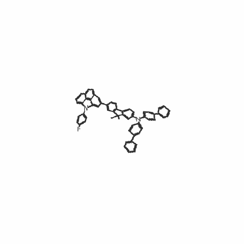 CC1(C)c2cc(-c3cc4ccc5cccc6c5c4c(c3)n6-c3ccc(F)cc3)ccc2-c2ccc(N(c3ccc(-c4ccccc4)cc3)c3ccc(-c4ccccc4)cc3)cc21